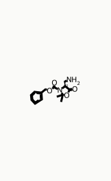 CC1(C)OC(=O)[C@H](CN)N1C(=O)OCc1ccccc1